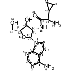 Nc1ncnc2c1ncn2[C@@H]1O[C@H](CO)C(O)[C@@H]1NC(=O)C(N)C1CC1